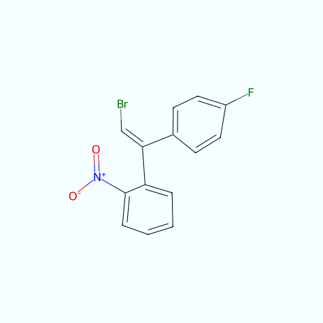 O=[N+]([O-])c1ccccc1C(=CBr)c1ccc(F)cc1